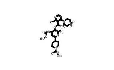 Cc1nc(C2CCN(C(=O)OC(C)(C)C)CC2)cc(NC(=O)OC(C)(C)C)c1OC(C)c1c(Cl)ncnc1N1CCS(=O)(=O)CC1